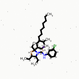 CCCCCCCCC(CC(CI)C1(CC)SC(CC)C(CC)N1C(=S)Nc1cccc(Br)c1)C(C)C